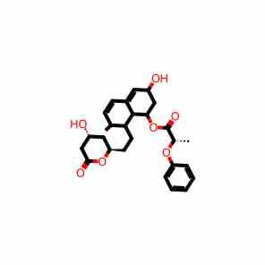 CC1C=CC2=CC(O)CC(OC(=O)[C@H](C)Oc3ccccc3)C2C1CC[C@@H]1C[C@@H](O)CC(=O)O1